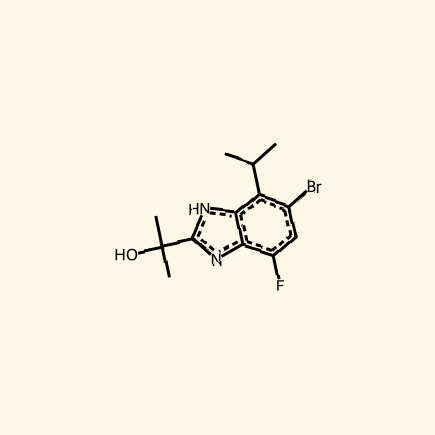 CC(C)c1c(Br)cc(F)c2nc(C(C)(C)O)[nH]c12